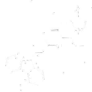 CN(C)C(c1nc(Br)cs1)[C@H](NC(=O)OCC1c2ccccc2-c2ccccc21)C(=O)O